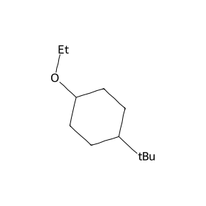 [CH2]COC1CCC(C(C)(C)C)CC1